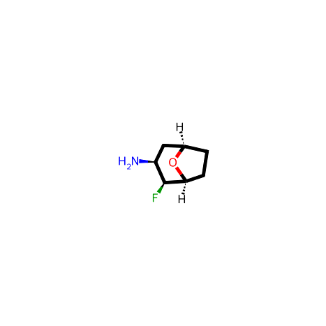 N[C@H]1C[C@H]2CC[C@H](O2)[C@H]1F